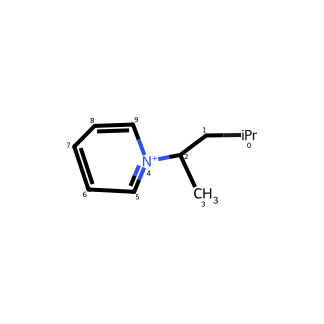 CC(C)CC(C)[n+]1ccccc1